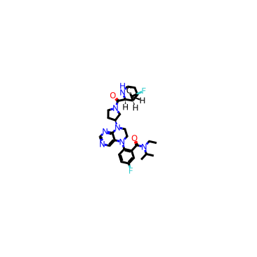 CCN(C(=O)c1cc(F)ccc1N1CCN([C@H]2CCN(C(=O)[C@H]3NC4CC[C@@H]3[C@@H](F)C4)C2)c2ncncc21)C(C)C